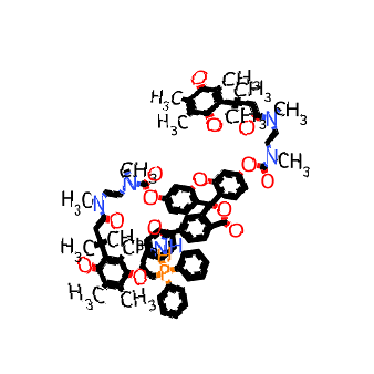 CC1=C(C)C(=O)C(C(C)(C)CC(=O)N(C)CCN(C)C(=O)Oc2ccc3c(c2)Oc2cc(OC(=O)N(C)CCN(C)C(=O)CC(C)(C)C4=C(C)C(=O)C(C)=C(C)C4=O)ccc2C32OC(=O)c3ccc(C(=O)NCCC[PH](c4ccccc4)(c4ccccc4)c4ccccc4)cc32)=C(C)C1=O